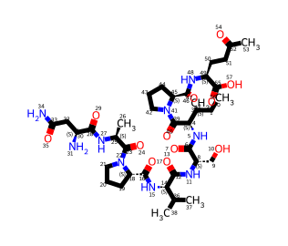 CC[C@H](C)[C@H](NC(=O)[C@H](CO)NC(=O)[C@@H](NC(=O)[C@@H]1CCCN1C(=O)[C@H](C)NC(=O)[C@@H](N)CC(N)=O)C(C)C)C(=O)N1CCC[C@H]1C(=O)N[C@@H](CCC(C)=O)C(=O)O